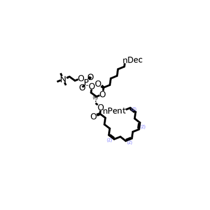 CCCCC/C=C\C/C=C\C/C=C\C/C=C\CCCC(=O)OC[C@H](COP(=O)([O-])OCC[N+](C)(C)C)OC(=O)CCCCCCCCCCCCCCC